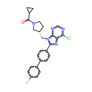 O=C(C1CC1)N1CC[C@H](Cn2c(-c3ccc(-c4ccc(F)cc4)cc3)nc3c(Cl)ncnc32)C1